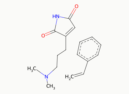 C=Cc1ccccc1.CN(C)CCCC1=CC(=O)NC1=O